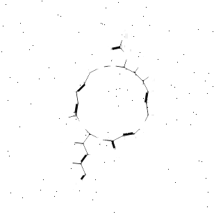 C=C/C(C)=C/C(C)C1C/C(C)=C/C=C/CCCC(OC(N)=O)C(O)C(O)/C=C/CC/C=C/C(=O)O1